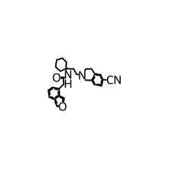 N#Cc1ccc2c(c1)CCN(CCC1(NC(=O)Cc3cccc4cocc34)CCCCC1)C2